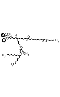 CCCCCCCCC(CCCCCC)CC(=O)N(C)CC(=O)OCCCCCC(CCCCCOC(=O)CCCCCCCCSCSCCCCC)NCCCCO[Si](c1ccccc1)(c1ccccc1)C(C)(C)C